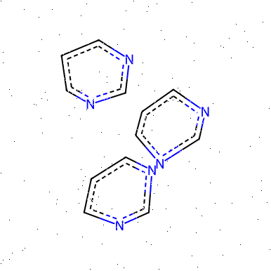 c1cncnc1.c1cncnc1.c1cncnc1